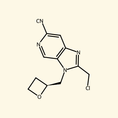 [C-]#[N+]c1cc2nc(CCl)n(C[C@@H]3CCO3)c2cn1